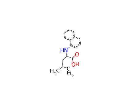 CC(C)CC(Nc1cccc2ccccc12)C(=O)O